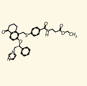 CCOC(=O)CCNC(=O)c1ccc(SCc2c(O[C@H](Cn3ccnc3)c3ccccc3)ccc3c2CCCC3=O)cc1